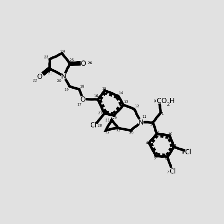 O=C(O)CC(c1ccc(Cl)c(Cl)c1)N(Cc1ccc(OCCN2C(=O)CCC2=O)c(Cl)c1)CC1CC1